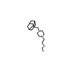 CCOCCN1CCN(CC23CC4CC(CC(C4)C2)C3)CC1